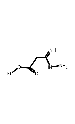 CCOC(=O)CC(=N)NN